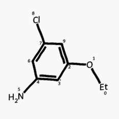 CCOc1[c]c(N)cc(Cl)c1